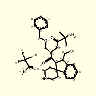 CC(C)(N)C(=O)N[C@H](COCc1ccccc1)C(=O)C1C(CO)c2ccccc2C12CCNCC2.NC(=O)C(F)(F)F